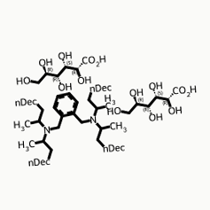 CCCCCCCCCCCC(C)N(Cc1ccccc1CN(C(C)CCCCCCCCCCC)C(C)CCCCCCCCCCC)C(C)CCCCCCCCCCC.O=C(O)[C@H](O)[C@@H](O)[C@H](O)[C@H](O)CO.O=C(O)[C@H](O)[C@@H](O)[C@H](O)[C@H](O)CO